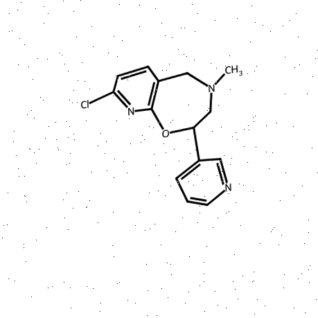 CN1Cc2ccc(Cl)nc2OC(c2cccnc2)C1